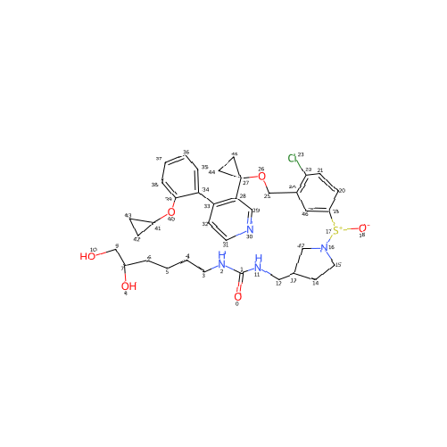 O=C(NCCCCC(O)CO)NCC1CCN([S+]([O-])c2ccc(Cl)c(COC3(c4cnccc4-c4ccccc4OC4CC4)CC3)c2)C1